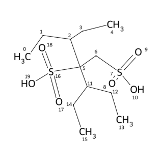 CCC(CC)C(CS(=O)(=O)O)(C(CC)CC)S(=O)(=O)O